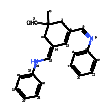 CC1(C=O)CC(/C=N\c2ccccc2)=CC(=C/Nc2ccccc2)/C1